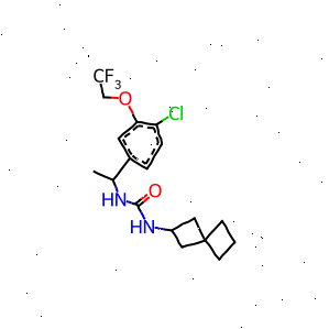 CC(NC(=O)NC1CC2(CCC2)C1)c1ccc(Cl)c(OCC(F)(F)F)c1